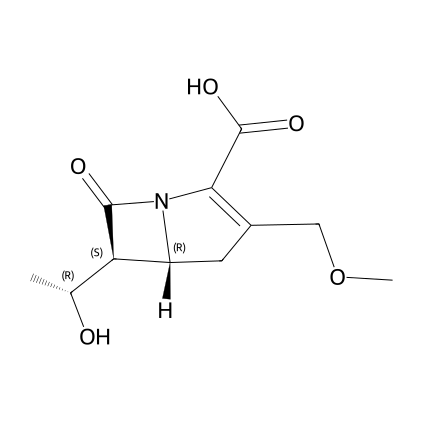 COCC1=C(C(=O)O)N2C(=O)[C@H]([C@@H](C)O)[C@H]2C1